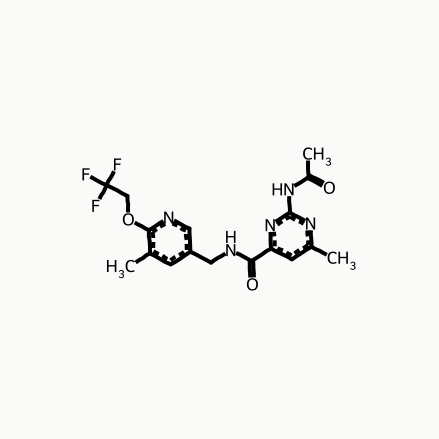 CC(=O)Nc1nc(C)cc(C(=O)NCc2cnc(OCC(F)(F)F)c(C)c2)n1